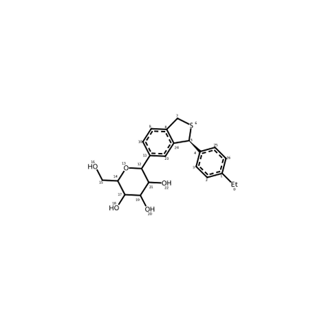 CCc1ccc([C@@H]2SCc3ccc(C4OC(CO)C(O)C(O)C4O)cc32)cc1